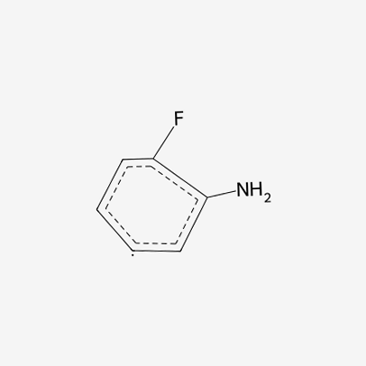 Nc1c[c]ccc1F